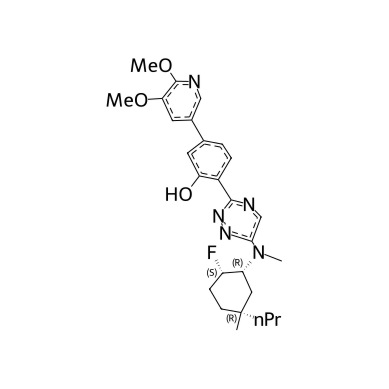 CCC[C@]1(C)CC[C@H](F)[C@H](N(C)c2cnc(-c3ccc(-c4cnc(OC)c(OC)c4)cc3O)nn2)C1